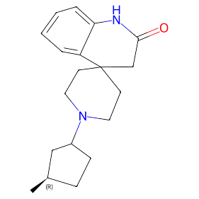 C[C@@H]1CCC(N2CCC3(CC2)CC(=O)Nc2ccccc23)C1